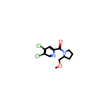 COCC1CCCN1C(=O)c1cc(Cl)c(Cl)cn1